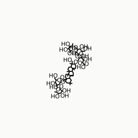 CC1OC(OC2C(OC(=O)C34CCC(C)(C)CC3C3=CCC5C6(C)CCC(OC7OC(C(=O)O)C(O)C(O)C7OC7OC(CO)C(O)C(O)C7OC7OC(C)C(O)C(O)C7O)C(C)(CO)C6CCC5(C)C3(C)CC4)OC(CO)C(O)C2O)C(O)C(O)C1O